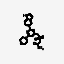 NC(=O)CS(=O)(=O)Cc1cc(N2CCOCC2)nc(-c2ccc3[nH]ccc3c2)n1